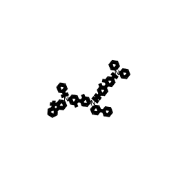 Cc1cc(N(c2ccc3c(c2)C(C)(C)c2ccccc2-3)C(C)(C)c2ccccc2)ccc1-c1ccc(N(c2cccc(-c3ccccc3)c2)C(C)(C)C(C)(C)c2ccc(-c3ccc(C(C)(C)N(c4ccccc4)c4ccccc4)cc3C)c(C)c2)cc1C